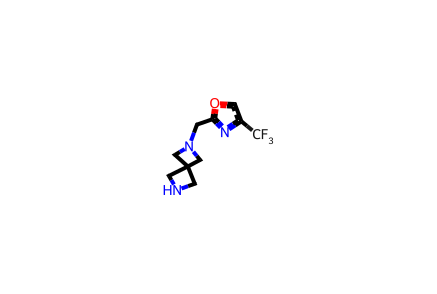 FC(F)(F)c1coc(CN2CC3(CNC3)C2)n1